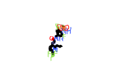 CCCc1nc(C(F)(F)F)ccc1/C=C/C(=O)NCc1cc(F)c(NS(C)(=O)=O)c(F)c1